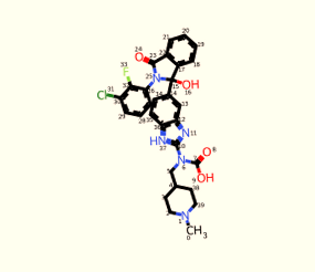 CN1CCC(CN(C(=O)O)c2nc3cc(C4(O)c5ccccc5C(=O)N4c4cccc(Cl)c4F)ccc3[nH]2)CC1